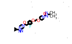 CC(C)c1noc(N2CCC(OCCOc3ccc(CC(=O)N4CCn5c(nnc5C5CC5)C4)c(F)c3)CC2)n1